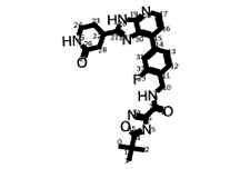 CC(C)(C)c1nc(C(=O)NCc2ccc(-c3ccnc4[nH]c(C5CCNC(=O)C5)nc34)cc2F)no1